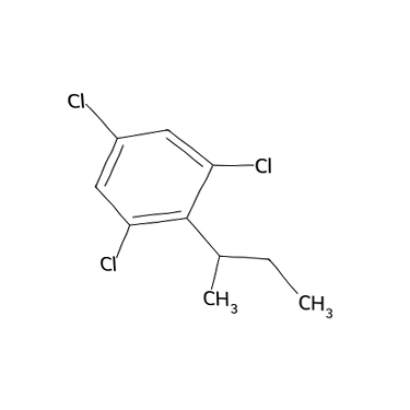 CCC(C)c1c(Cl)cc(Cl)cc1Cl